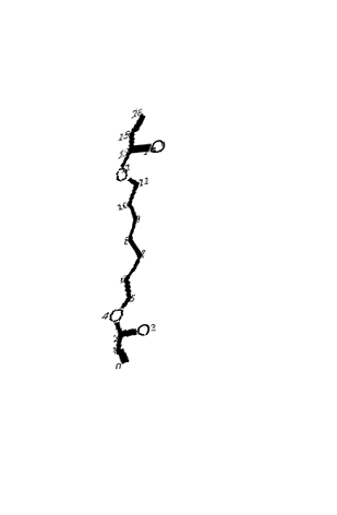 C=CC(=O)OCCCCCCCOC(=O)C=C